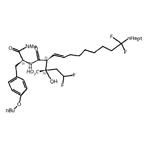 CCCCCCCC(F)(F)CCCCCCC=C[C@H](C(=O)N[C@@H](Cc1ccc(OCCCC)cc1)C(=O)NC)[C@@](O)(CC(F)F)C(=O)O